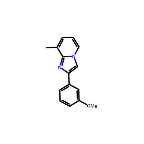 COc1cccc(-c2cn3cccc(C)c3n2)c1